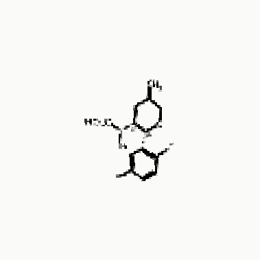 C=C1CO[C@H](c2cc(F)ccc2F)[C@@H](N(C(=O)O)C(C)(C)C)C1